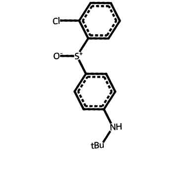 CC(C)(C)Nc1ccc([S+]([O-])c2ccccc2Cl)cc1